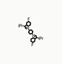 CC(C)c1cn(-c2ccc(-n3cc(C(C)C)c4cc(F)ccc43)cc2)c2ccc(F)cc12